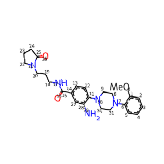 COc1ccccc1N1CCN(c2ccc(C(=O)NCCCN3CCCC3=O)cc2N)CC1